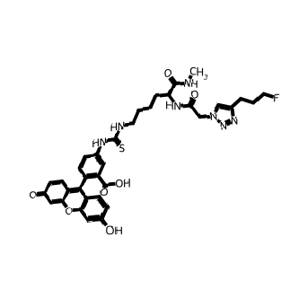 CNC(=O)C(CCCCNC(=S)Nc1ccc(-c2c3ccc(=O)cc-3oc3cc(O)ccc23)c(C(=O)O)c1)NC(=O)Cn1cc(CCCF)nn1